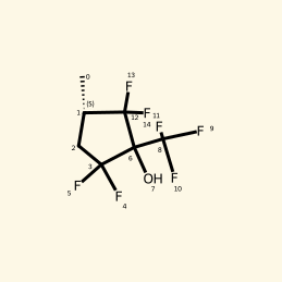 C[C@H]1CC(F)(F)C(O)(C(F)(F)F)C1(F)F